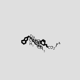 COc1ccc(C=CC(=O)O)cc1S(=O)(=O)N(C)CC(O)CNC(C)(C)CC1Cc2ccccc2C1